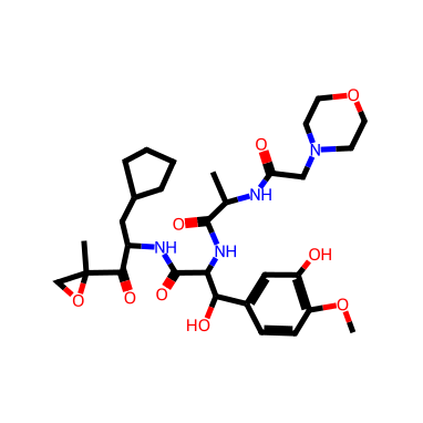 COc1ccc(C(O)C(NC(=O)C(C)NC(=O)CN2CCOCC2)C(=O)NC(CC2CCCC2)C(=O)C2(C)CO2)cc1O